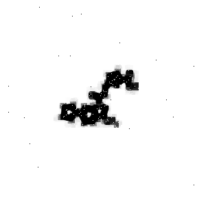 CC1CN(C(=O)CCc2ccc(C(=O)O)s2)c2cc(N3CCCC3)ccc21